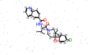 CC(C)[C@@H](NC(=O)c1ccc2ncccc2c1)C(=O)N1CC[C@](O)(c2ccc(Cl)cc2)C(C)(C)C1